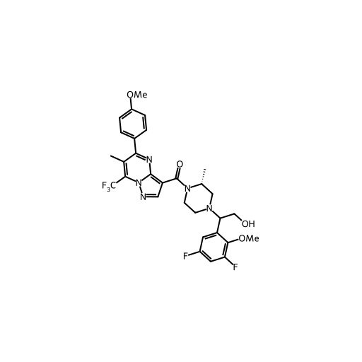 COc1ccc(-c2nc3c(C(=O)N4CCN(C(CO)c5cc(F)cc(F)c5OC)C[C@H]4C)cnn3c(C(F)(F)F)c2C)cc1